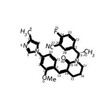 COc1cc(-n2cnc(C)c2)ccc1/C=C1/CCCN([C@@H](C)c2ccc(F)c(C#N)c2)C1=O